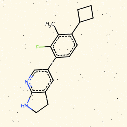 Cc1c(C2CCC2)ccc(-c2cnc3c(c2)CCN3)c1F